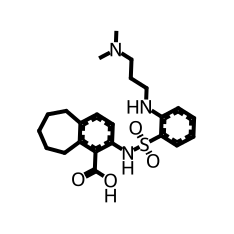 CN(C)CCCNc1ccccc1S(=O)(=O)Nc1ccc2c(c1C(=O)O)CCCCC2